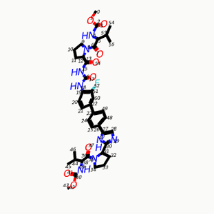 COC(=O)NC(C(=O)N1CCCC1C(=O)NC(=O)Nc1ccc(-c2ccc(-c3cnc(C4CCCN4C(=O)C(NC(=O)OC)C(C)C)[nH]3)cc2)cc1F)C(C)C